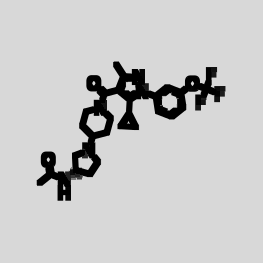 CC(=O)N[C@H]1CCN(C2CCN(C(=O)c3c(C)nn(-c4cccc(OC(F)(F)F)c4)c3C3CC3)CC2)C1